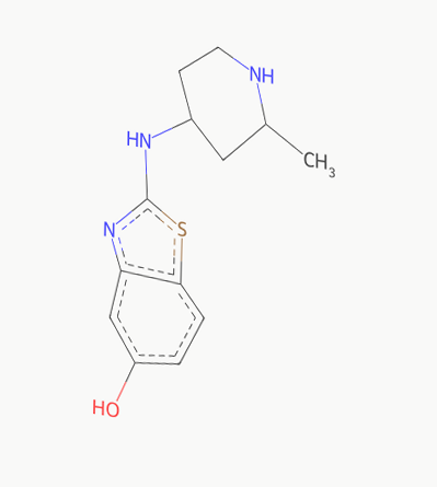 CC1CC(Nc2nc3cc(O)ccc3s2)CCN1